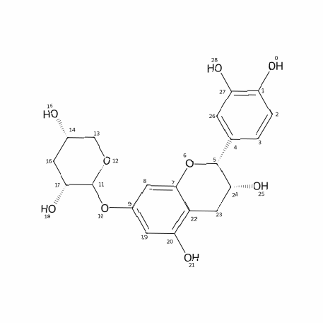 Oc1ccc([C@H]2Oc3cc(OC4OC[C@@H](O)C[C@H]4O)cc(O)c3C[C@H]2O)cc1O